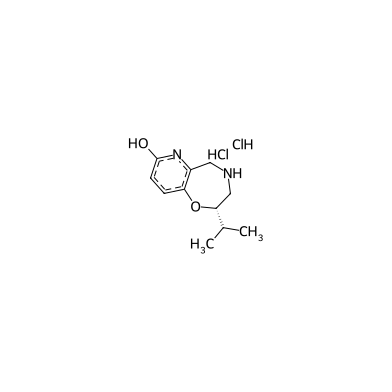 CC(C)[C@H]1CNCc2nc(O)ccc2O1.Cl.Cl